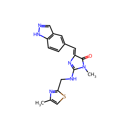 Cc1csc(CNC2=N/C(=C\c3ccc4[nH]ncc4c3)C(=O)N2C)n1